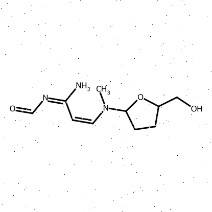 CN(/C=C\C(N)=N/C=O)C1CCC(CO)O1